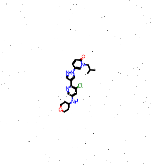 CC(C)Cn1cc(-n2cc(-c3ncc(NC4CCOCC4)cc3Cl)cn2)ccc1=O